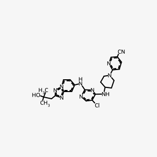 CC(C)(O)Cc1nc2cc(Nc3ncc(Cl)c(NC4CCN(c5ccc(C#N)cn5)CC4)n3)ccn2n1